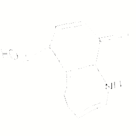 O=C1C=CC(S(=O)(=O)O)C2=CC=CNC12